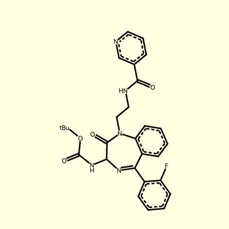 CC(C)(C)OC(=O)NC1N=C(c2ccccc2F)c2ccccc2N(CCNC(=O)c2cccnc2)C1=O